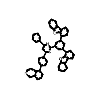 c1ccc(-c2cc(-c3ccc(-c4cccc5cnccc45)cc3)nc(-c3cc(-c4cccc5c4oc4ccccc45)cc(-c4cccc5c4oc4ccccc45)c3)n2)cc1